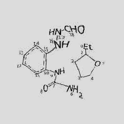 CCC1CCCO1.NC(=O)Nc1ccccc1NNC=O